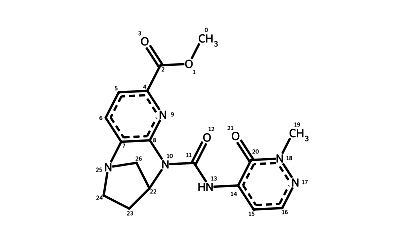 COC(=O)c1ccc2c(n1)N(C(=O)Nc1ccnn(C)c1=O)C1CCN2C1